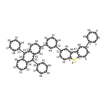 c1ccc(-c2ccc3sc4ccc(-c5cccc(-c6ccc7c(-c8ccccc8)c8ccccc8c(-c8ccccc8)c7c6)c5)cc4c3c2)cc1